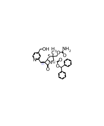 CC1(COC(N)=O)SC2/C(=C\c3cc(CO)ccn3)C(=O)N2[C@H]1C(=O)OC(c1ccccc1)c1ccccc1